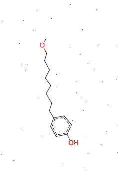 COCCCCCCCCc1ccc(O)cc1